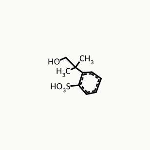 CC(C)(CO)c1ccccc1S(=O)(=O)O